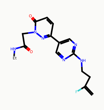 C=C(F)CCNc1ncc(-c2ccc(=O)n(CC(=O)NCC)n2)cn1